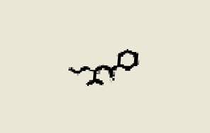 CCC[C@@H](CC(=O)C1CCCCC1)C(C)C